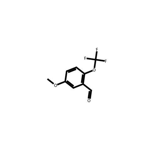 COc1ccc(OC(F)(F)F)c(C=O)c1